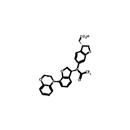 O=C(O)C[C@@H]1COc2cc(N(C(=O)C(F)(F)F)[C@@H]3COc4c3cccc4N3CCOc4ccccc43)ccc21